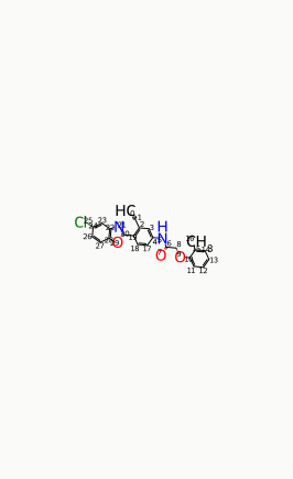 C#Cc1cc(NC(=O)COc2ccccc2C)ccc1-c1nc2cc(Cl)ccc2o1